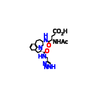 CC(=O)N[C@@H](CCC(=O)O)C(=O)N[C@H]1CCc2cccc3c2N(C1)[C@H](C(=O)NCc1c[nH]nn1)C3